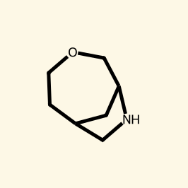 C1CC2CNC(CO1)C2